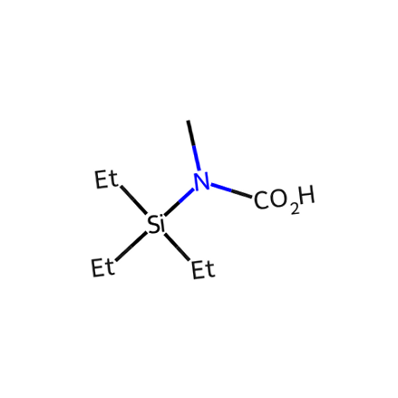 CC[Si](CC)(CC)N(C)C(=O)O